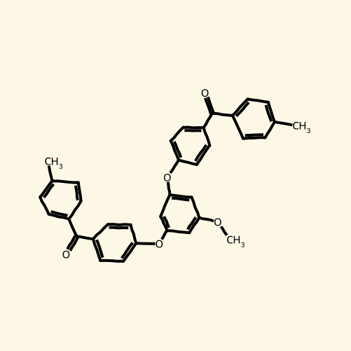 COc1cc(Oc2ccc(C(=O)c3ccc(C)cc3)cc2)cc(Oc2ccc(C(=O)c3ccc(C)cc3)cc2)c1